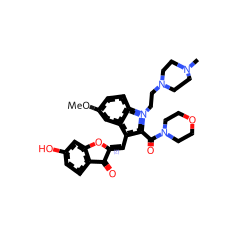 COc1ccc2c(c1)c(/C=C1\Oc3cc(O)ccc3C1=O)c(C(=O)N1CCOCC1)n2CCN1CCN(C)CC1